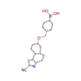 N#Cc1nc2ccc3cc(OCc4ccc(B(O)O)cc4)ccc3c2s1